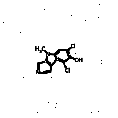 Cn1c2cnccc2c2c(Cl)c(O)c(Cl)cc21